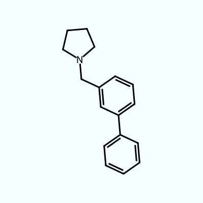 c1ccc(-c2cccc(CN3CCCC3)c2)cc1